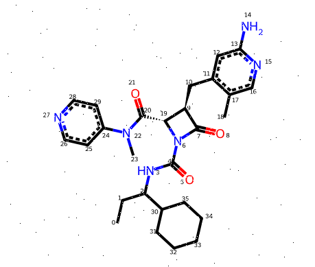 CCC(NC(=O)N1C(=O)[C@H](Cc2cc(N)ncc2C)[C@H]1C(=O)N(C)c1ccncc1)C1CCCCC1